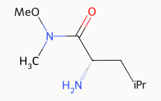 CON(C)C(=O)[C@@H](N)CC(C)C